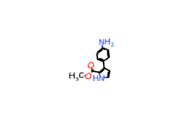 COC(=O)c1[nH]ccc1-c1ccc(N)cc1